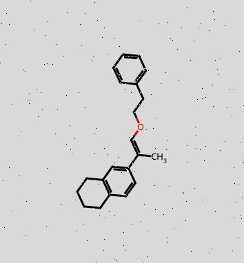 CC(=COCCc1ccccc1)c1ccc2c(c1)CCCC2